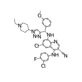 CCN1CCC(n2cc(C(Nc3cc(Cl)cc4c(Nc5ccc(F)c(Cl)c5)c(C#N)cnc34)c3cccc(OC)c3)nn2)CC1